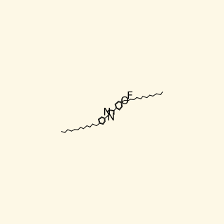 CCCCCCCCCCCCc1ccc(-c2ncc(-c3ccc(OCC(F)CCCCCCCCCC)cc3)cn2)cc1